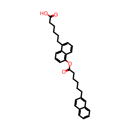 O=C(O)CCCCCc1cccc2c(OC(=O)CCCCCc3ccc4ccccc4c3)cccc12